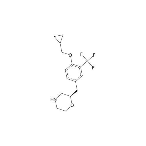 FC(F)(F)c1cc(C[C@@H]2CNCCO2)ccc1OCC1CC1